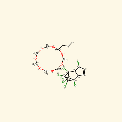 CCC[SiH]1O[SiH2]O[SiH2]O[SiH2]O[SiH2]O[SiH2]O[SiH2]O1.ClC1=C(Cl)C2(Cl)C3C(Cl)C=CC3C1(Cl)C2(Cl)Cl